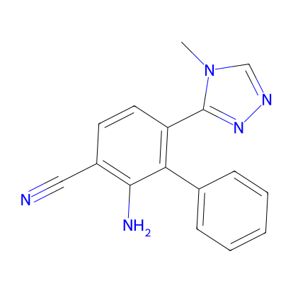 Cn1cnnc1-c1ccc(C#N)c(N)c1-c1ccccc1